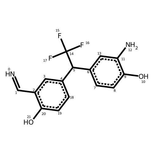 N=Cc1cc(C(c2ccc(O)c(N)c2)C(F)(F)F)ccc1O